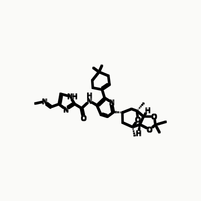 C/N=C/c1c[nH]c(C(=O)Nc2ccc([C@H]3C[C@@]4(C)O[C@@](C)(C3)[C@@H]3OC(C)(C)O[C@@H]34)nc2C2=CCC(C)(C)CC2)n1